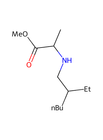 CCCCC(CC)CNC(C)C(=O)OC